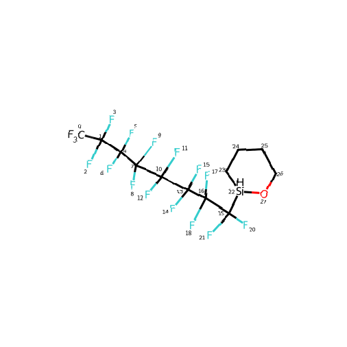 FC(F)(F)C(F)(F)C(F)(F)C(F)(F)C(F)(F)C(F)(F)C(F)(F)C(F)(F)[SiH]1CCCCO1